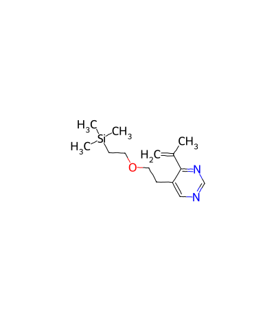 C=C(C)c1ncncc1CCOCC[Si](C)(C)C